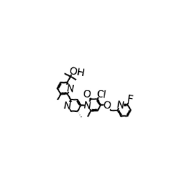 Cc1ccc(C(C)(C)O)nc1C1=NC[C@@H](C)C(n2c(C)cc(OCc3cccc(F)n3)c(Cl)c2=O)=C1